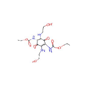 CCOC(=O)NC1=C(NCCO)C(=O)C(NC(=O)OCC)=C(NCCO)C1=O